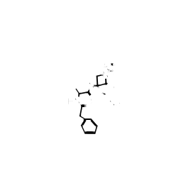 COC1(NC(=O)C(C)NC(=O)Cc2ccccc2)CN(S(=O)(=O)[O-])C1=O.[Na+]